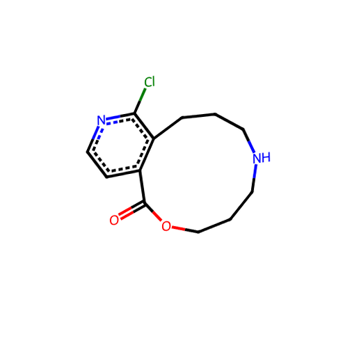 O=C1OCCCNCCCc2c1ccnc2Cl